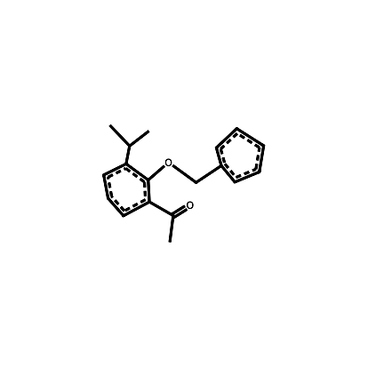 CC(=O)c1cccc(C(C)C)c1OCc1ccccc1